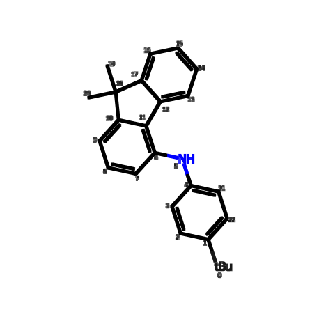 CC(C)(C)c1ccc(Nc2cccc3c2-c2ccccc2C3(C)C)cc1